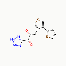 O=C(Cc1cscc1-c1cccs1)C(=O)c1nn[nH]n1